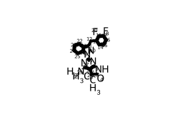 CC1(C)C(=O)Nc2nc(-n3nc(Cc4cccc(F)c4F)c4ccccc43)nc(N)c21